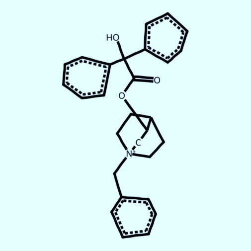 O=C(OC1C[N+]2(Cc3ccccc3)CCC1CC2)C(O)(c1ccccc1)c1ccccc1